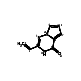 C=Cc1nn2cncc2c(=O)[nH]1